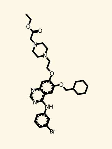 CCOC(=O)CN1CCN(CCOc2cc3ncnc(Nc4cccc(Br)c4)c3cc2OCC2CCCCC2)CC1